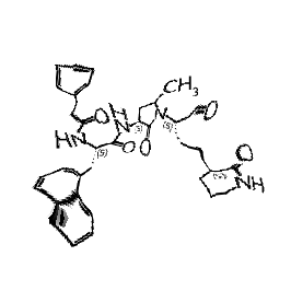 CC1C[C@H](NC(=O)[C@H](Cc2cccc3ccccc23)NC(=O)Cc2ccccc2)C(=O)N1[C@H](C=O)CC[C@@H]1CCCNC1=O